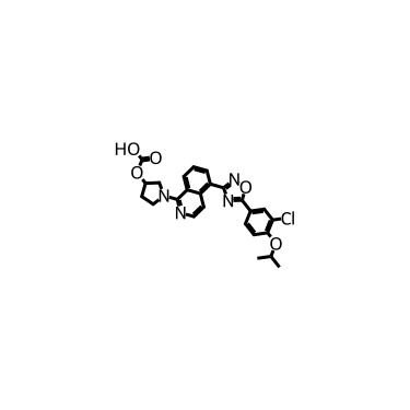 CC(C)Oc1ccc(-c2nc(-c3cccc4c(N5CCC(OC(=O)O)C5)nccc34)no2)cc1Cl